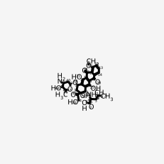 CC(C)CC(N)C(=O)O.COc1cccc2c1C(=O)c1c(O)c3c(c(O)c1C2=O)C[C@@](O)(C(=O)CO)C[C@@H]3O[C@H]1C[C@H](N)[C@H](O)[C@H](C)O1